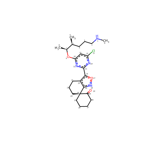 CNCCC[C@H](C)[C@H](C)Oc1cc(Cl)nc(-c2onc3c2CCC[C@@]32CCCCC2=O)n1